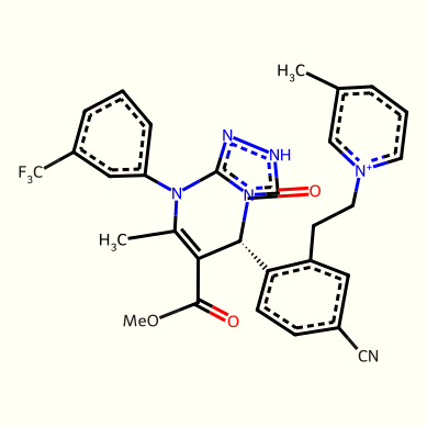 COC(=O)C1=C(C)N(c2cccc(C(F)(F)F)c2)c2n[nH]c(=O)n2[C@@H]1c1ccc(C#N)cc1CC[n+]1cccc(C)c1